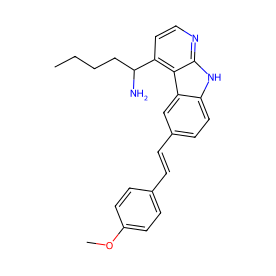 CCCCC(N)c1ccnc2[nH]c3ccc(/C=C/c4ccc(OC)cc4)cc3c12